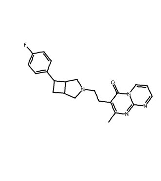 Cc1nc2ncccn2c(=O)c1CCN1CC2CC(c3ccc(F)cc3)C2C1